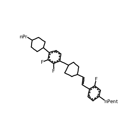 CCCCCc1ccc(/C=C/C2CCC(c3ccc(C4CCC(CCC)CC4)c(F)c3F)CC2)c(F)c1